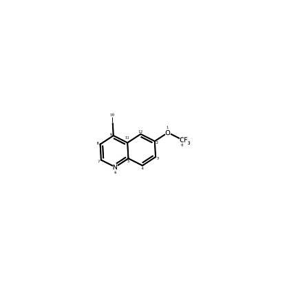 FC(F)(F)Oc1ccc2nccc(I)c2c1